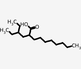 CCCCCCCCC(CC(CC)CC)C(=O)O